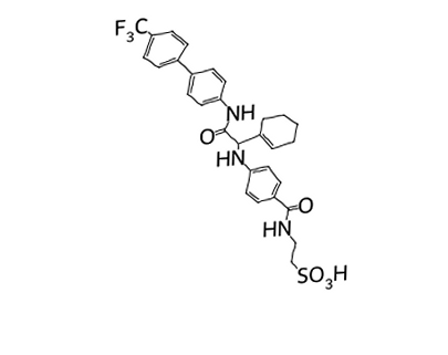 O=C(NCCS(=O)(=O)O)c1ccc(NC(C(=O)Nc2ccc(-c3ccc(C(F)(F)F)cc3)cc2)C2=CCCCC2)cc1